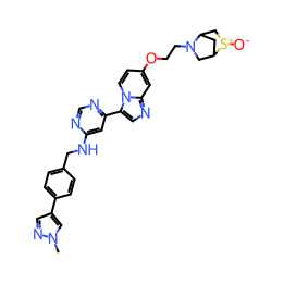 Cn1cc(-c2ccc(CNc3cc(-c4cnc5cc(OCCN6CC7CC6C[S+]7[O-])ccn45)ncn3)cc2)cn1